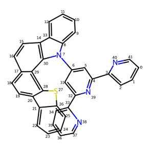 c1ccc(-c2cc(-n3c4ccccc4c4ccc5ccc6c7ccccc7sc6c5c43)cc(-c3ccccn3)n2)nc1